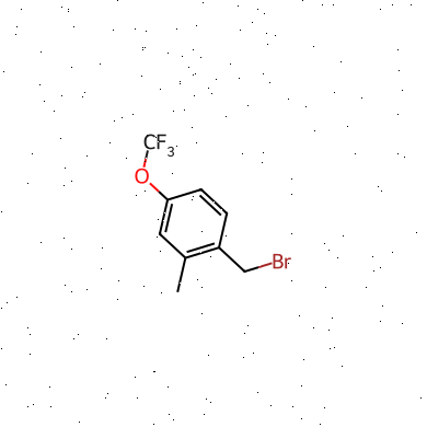 Cc1cc(OC(F)(F)F)ccc1CBr